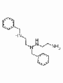 NCCNN(CCNCc1ccccc1)Cc1ccccc1